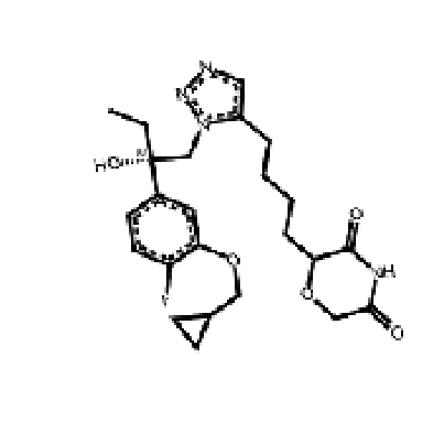 CC[C@@](O)(Cn1nncc1CCCCC1OCC(=O)NC1=O)c1ccc(F)c(OCC2CC2)c1